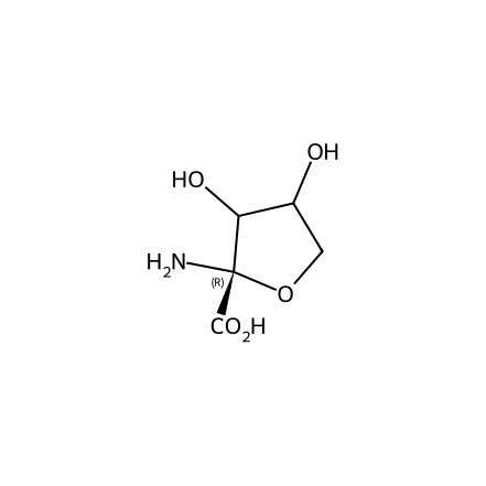 N[C@@]1(C(=O)O)OCC(O)C1O